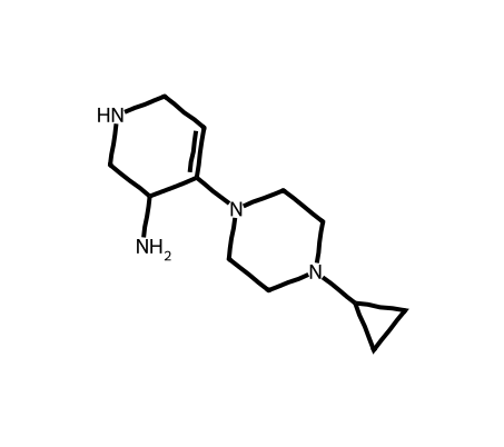 NC1CNCC=C1N1CCN(C2CC2)CC1